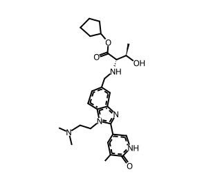 Cc1cc(-c2nc3cc(CN[C@H](C(=O)OC4CCCC4)[C@@H](C)O)ccc3n2CCN(C)C)c[nH]c1=O